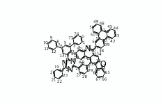 c1ccc(-c2cc(-c3ccccc3)cc(-c3nc(-c4ccccc4)nc(-c4cccc(-c5c6c(cc7c(-c8ccc9c%10ccccc%10c%10ccccc%10c9c8)nc8ccccc8c57)oc5ccccc56)c4)n3)c2)cc1